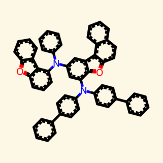 c1ccc(-c2ccc(N(c3ccc(-c4ccccc4)cc3)c3cc(N(c4ccccc4)c4cccc5oc6ccccc6c45)cc4c3oc3ccc5ccccc5c34)cc2)cc1